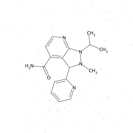 CC(C)N1c2nccc(C(N)=O)c2C(c2ccccn2)N1C